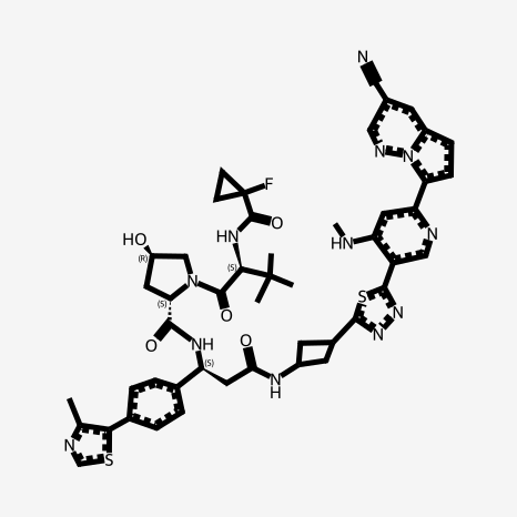 CNc1cc(-c2ccc3cc(C#N)cnn23)ncc1-c1nnc(C2CC(NC(=O)C[C@H](NC(=O)[C@@H]3C[C@@H](O)CN3C(=O)[C@@H](NC(=O)C3(F)CC3)C(C)(C)C)c3ccc(-c4scnc4C)cc3)C2)s1